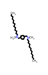 CCCCCCCCCCCCCN(C)Cc1ccc(CN(C)CCCCCCCCCCCCC)cc1